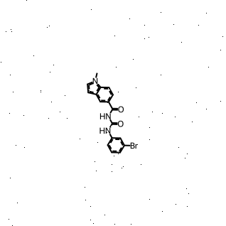 Cn1ccc2cc(C(=O)NC(=O)Nc3cccc(Br)c3)ccc21